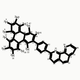 [2H]c1c([2H])c([2H])c2c(c1[2H])c1c([2H])c([2H])c([2H])c([2H])c1c1c([2H])c(-c3ccc(-c4ccc5ccc6cccnc6c5n4)cc3)c([2H])c([2H])c21